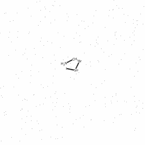 CN.[Br][Sn][I]